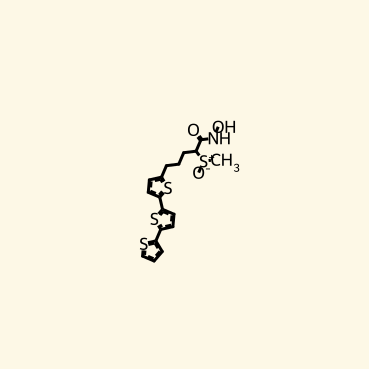 C[S+]([O-])C(CCCc1ccc(-c2ccc(-c3cccs3)s2)s1)C(=O)NO